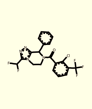 O=C(c1cccc(C(F)(F)F)c1Cl)N1CCn2c(C(F)F)nnc2C1c1ccccc1